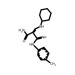 Cc1ccc(NC(=N)/C(=C\NC2CCCCC2)C(N)=O)cc1